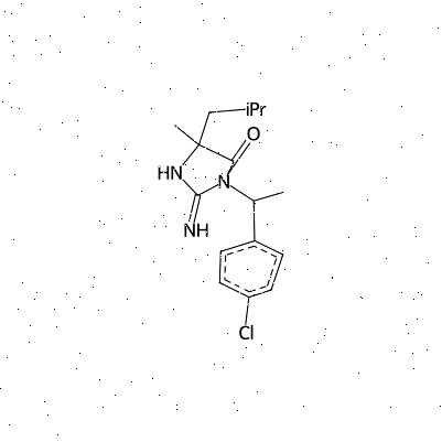 CC(C)CC1(C)NC(=N)N(C(C)c2ccc(Cl)cc2)C1=O